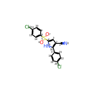 N#Cc1cc(S(=O)(=O)c2ccc(Cl)cc2)[nH]c1-c1ccc(Cl)cc1